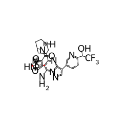 CS(=O)(=O)c1c(C2CC3CC[C@H](C2)N3C(=O)c2cc[nH]n2)nc2c(-c3ccc(C(O)C(F)(F)F)nc3)cnn2c1N